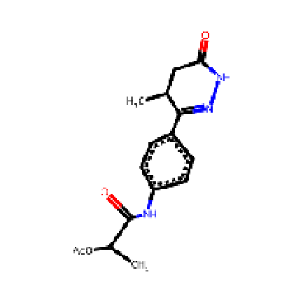 CC(=O)OC(C)C(=O)Nc1ccc(C2=NNC(=O)CC2C)cc1